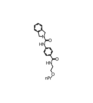 CCCOCCNC(=O)c1ccc(NC(=O)N2Cc3ccccc3C2)cc1